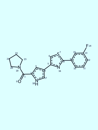 O=C(c1cc(-c2csc(-c3cccc(F)c3)n2)c[nH]1)N1CCCC1